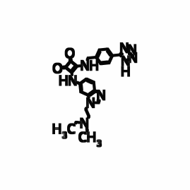 CCN(CC)CCn1cnc2ccc(Nc3c(NCc4ccc(-c5nnn[nH]5)cc4)c(=O)c3=O)cc21